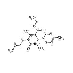 CCOC(=O)/C(=C(\C)N(C=O)CCOC)C(NC)c1ccc(C)nc1